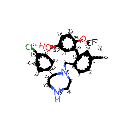 Cc1ccc(CN2CCNC[C@@H]2c2ccc(Cl)cc2)c(-c2cc(O)ccc2OC(F)(F)F)c1